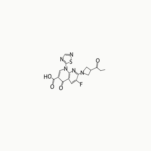 CCC(=O)C1CN(c2nc3c(cc2F)c(=O)c(C(=O)O)cn3-c2ncns2)C1